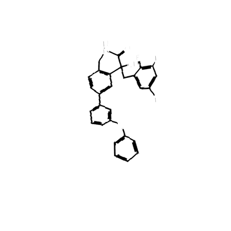 CC1(Cc2cc(F)cc(F)c2F)C(=O)NCc2ccc(-c3cccc(Oc4ccccc4)c3)cc21